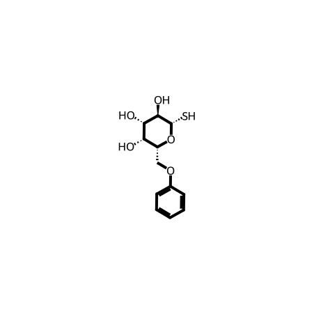 O[C@@H]1[C@@H](O)[C@H](S)O[C@H](COc2ccccc2)[C@@H]1O